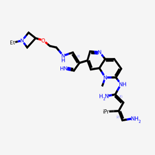 CCN1CC(OCCN/C=C(\C=N)C2=CC3C(=CC=C(N/C(N)=C/C(=C\N)C(C)C)N3C)N=C2)C1